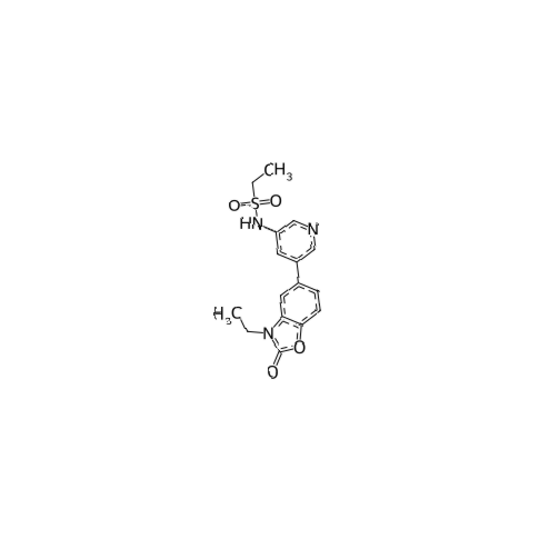 CCn1c(=O)oc2ccc(-c3cncc(NS(=O)(=O)CC)c3)cc21